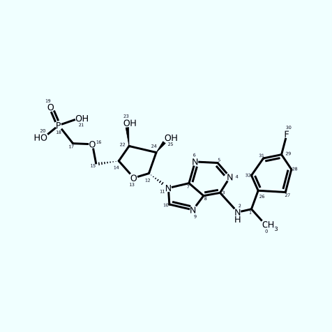 CC(Nc1ncnc2c1ncn2[C@@H]1O[C@H](COCP(=O)(O)O)[C@@H](O)[C@H]1O)c1ccc(F)cc1